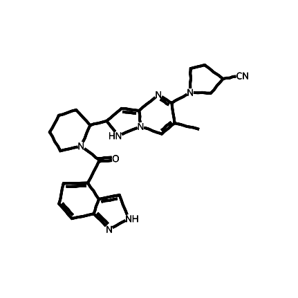 CC1=CN2NC(C3CCCCN3C(=O)c3cccc4n[nH]cc34)C=C2N=C1N1CCC(C#N)C1